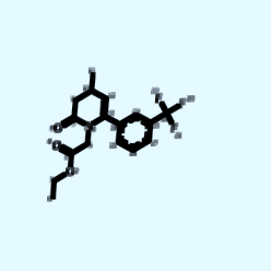 CCOC(=O)CN1C(=O)CC(C)C=C1c1cccc(C(F)(F)F)c1